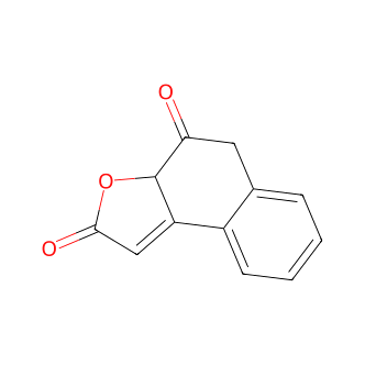 O=C1C=C2c3ccccc3CC(=O)C2O1